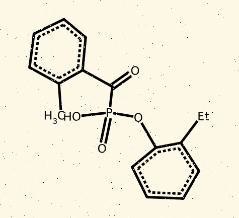 CCc1ccccc1OP(=O)(O)C(=O)c1ccccc1C